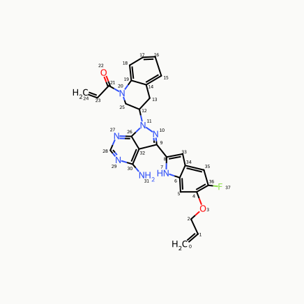 C=CCOc1cc2[nH]c(-c3nn(C4Cc5ccccc5N(C(=O)C=C)C4)c4ncnc(N)c34)cc2cc1F